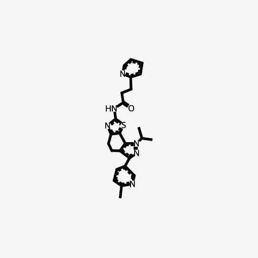 Cc1ccc(-c2nn(C(C)C)c3c2CCc2nc(NC(=O)CCc4ccccn4)sc2-3)cn1